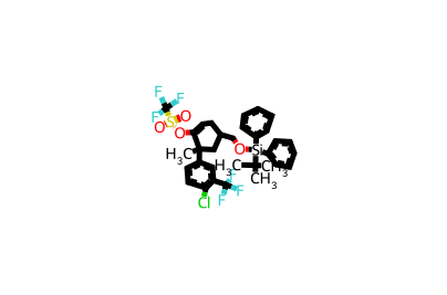 CC1(c2ccc(Cl)c(C(F)(F)F)c2)CC(CO[Si](c2ccccc2)(c2ccccc2)C(C)(C)C)CC=C1OS(=O)(=O)C(F)(F)F